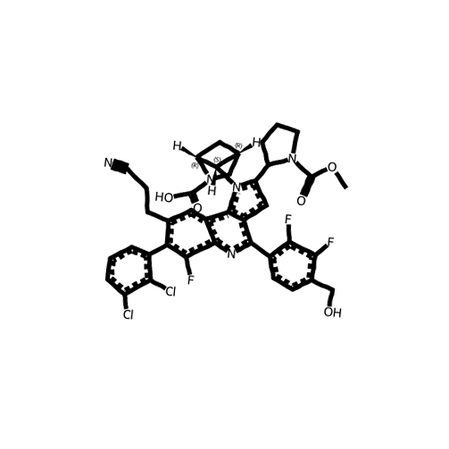 COC(=O)N1CCCC1c1cc2c(-c3ccc(CO)c(F)c3F)nc3c(F)c(-c4cccc(Cl)c4Cl)c(CCC#N)cc3c2n1[C@H]1[C@@H]2C[C@H]1N(C(=O)O)C2